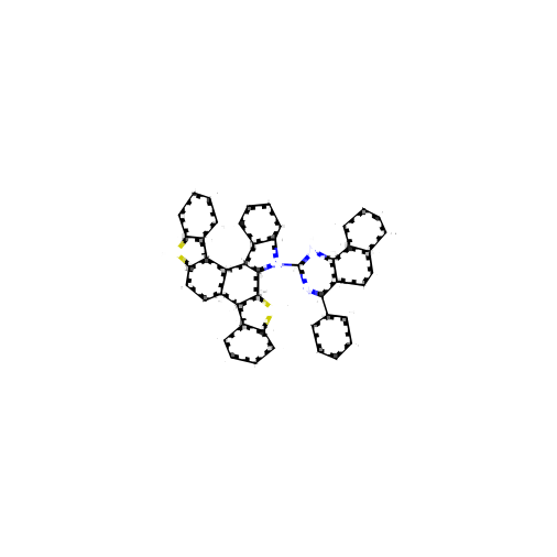 c1ccc(-c2nc(-n3c4ccccc4c4c5c(ccc6sc7ccccc7c65)c5c6ccccc6sc5c43)nc3c2ccc2ccccc23)cc1